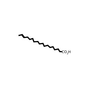 C/C=C/CCCCCCCCCCCCCCC(=O)O